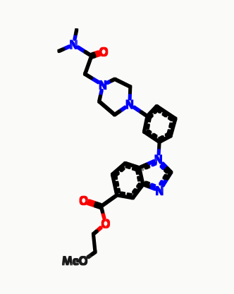 COCCOC(=O)c1ccc2c(c1)ncn2-c1cccc(N2CCN(CC(=O)N(C)C)CC2)c1